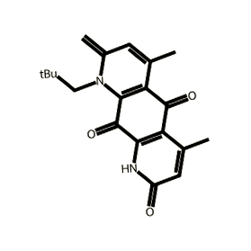 C=C1C=C(C)C2=C(C(=O)c3[nH]c(=O)cc(C)c3C2=O)N1CC(C)(C)C